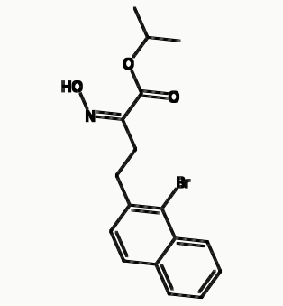 CC(C)OC(=O)C(CCc1ccc2ccccc2c1Br)=NO